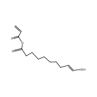 C=CC(=O)OC(=O)CCCCCCCC=CCCCCCCCC